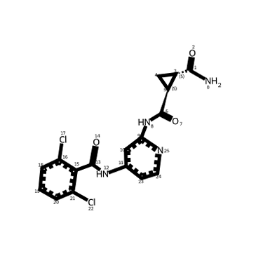 NC(=O)[C@H]1C[C@@H]1C(=O)Nc1cc(NC(=O)c2c(Cl)cccc2Cl)ccn1